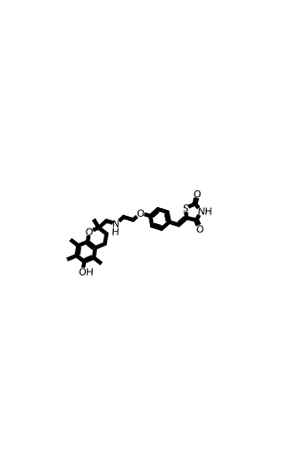 Cc1c(C)c2c(c(C)c1O)CCC(C)(CNCCOc1ccc(/C=C3\SC(=O)NC3=O)cc1)O2